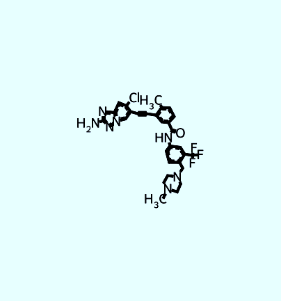 Cc1ccc(C(=O)Nc2ccc(CN3CCN(C)CC3)c(C(F)(F)F)c2)cc1C#Cc1cn2nc(N)nc2cc1Cl